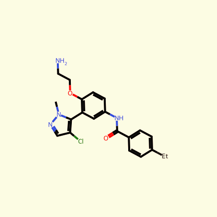 CCc1ccc(C(=O)Nc2ccc(OCCN)c(-c3c(Cl)cnn3C)c2)cc1